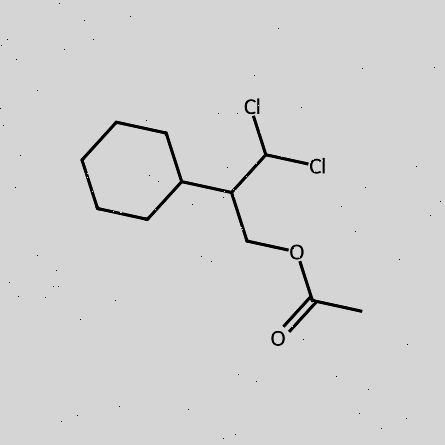 CC(=O)OCC(C(Cl)Cl)C1CCCCC1